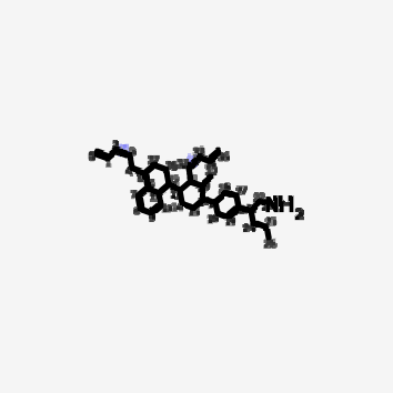 C=C/C=C\CC1=C2C=CC=CC2C(C2CCC(C3CC=C(C(CN)CCC)CC3)C(C)C2/C=C\C=C)CC1